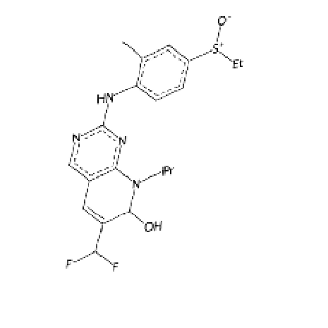 CC[S+]([O-])c1ccc(Nc2ncc3c(n2)N(C(C)C)C(O)C(C(F)F)=C3)c(C)c1